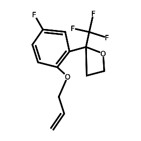 C=CCOc1ccc(F)cc1C1(C(F)(F)F)CCO1